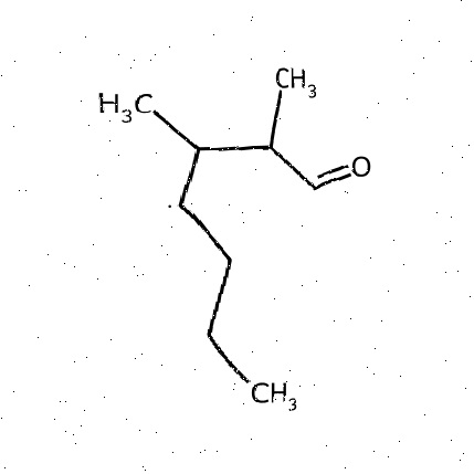 CCC[CH]C(C)C(C)C=O